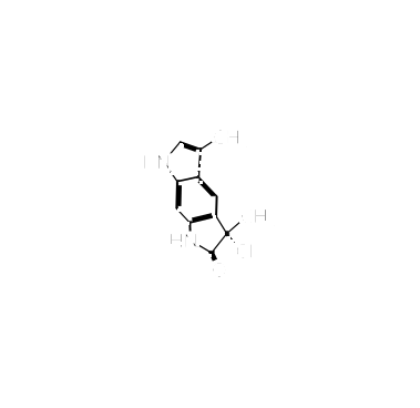 Cc1c[nH]c2cc3c(cc12)C(C)(C)C(=O)N3